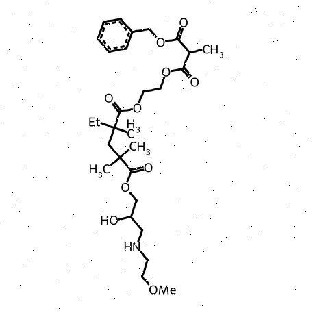 CCC(C)(CC(C)(C)C(=O)OCC(O)CNCCOC)C(=O)OCCOC(=O)C(C)C(=O)OCc1ccccc1